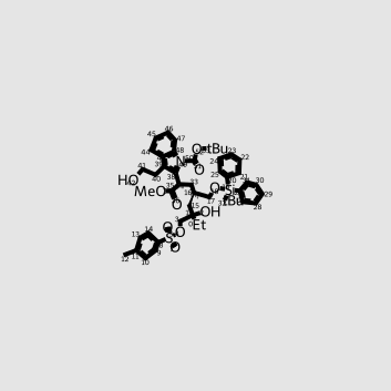 CCC(O)(COS(=O)(=O)c1ccc(C)cc1)C[C@H](CO[Si](c1ccccc1)(c1ccccc1)C(C)(C)C)CC(C(=O)OC)c1c(CCO)c2ccccc2n1C(=O)OC(C)(C)C